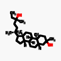 CC[C@](C)(O)CC[C@@H](C)C1CC[C@H]2[C@@H]3CC[C@H]4C[C@@](C)(O)CC[C@]4(C)[C@H]3CC[C@]12C